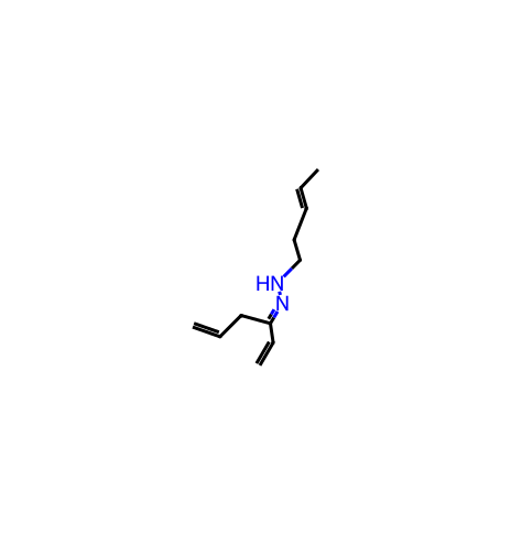 C=CC/C(C=C)=N\NCC/C=C/C